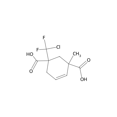 CC1(C(=O)O)C=CCC(C(=O)O)(C(F)(F)Cl)C1